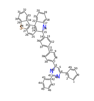 c1ccc(-c2cc(-c3ccc(-c4ccc(-c5nc6ccccc6c6c5ccc5sc7ccccc7c56)cc4)cc3)nc(-c3ccccc3)n2)cc1